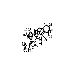 O=C(O)c1ccc(CNC2(C(=O)O[C@H]3CN4CCC3CC4)CCc3ccccc32)s1